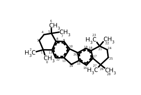 CC1(C)CCC(C)(C)c2cc3c(cc21)[CH]c1cc2c(cc1-3)C(C)(C)CCC2(C)C